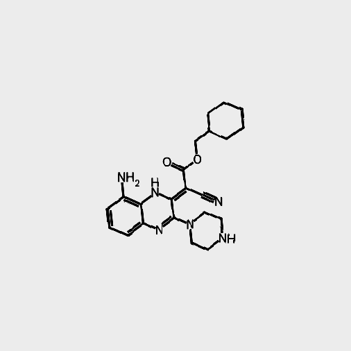 N#CC(C(=O)OCC1CCCCC1)=C1Nc2c(N)cccc2N=C1N1CCNCC1